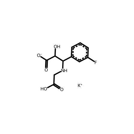 O=C(O)CNC(c1cccc(F)c1)C(O)C(=O)[O-].[K+]